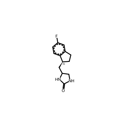 O=C1NCC(C[C@@H]2CCc3cc(F)ccc32)N1